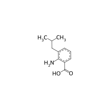 CC(C)Cc1cccc(C(=O)O)c1N